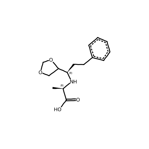 C[C@@H](N[C@H](CCc1ccccc1)C1COCO1)C(=O)O